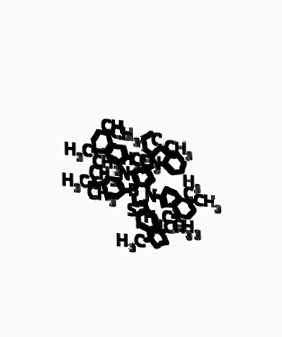 Cc1cc2c(cc1N1c3cc(C(C)(C)C)ccc3B3c4sc5cc6c(cc5c4N(c4ccc5c(c4)C(C)(C)CCC5(C)C)c4cc(N5c7ccccc7C7(C)CCCCC57C)cc1c43)C1(C)CCC6(C)C1)C(C)(C)CCC2(C)C